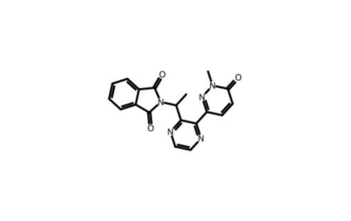 CC(c1nccnc1-c1ccc(=O)n(C)n1)N1C(=O)c2ccccc2C1=O